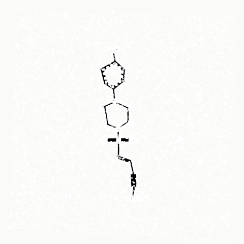 CCCCCC#C/C=C/S(=O)(=O)N1CCN(c2ccc(F)cc2)CC1